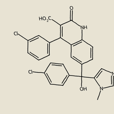 Cn1cncc1C(O)(c1ccc(Cl)cc1)c1ccc2[nH]c(=O)c(C(=O)O)c(-c3cccc(Cl)c3)c2c1